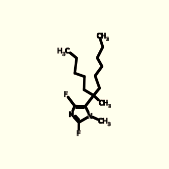 CCCCCCC(C)(CCCCC)c1c(F)nc(F)n1C